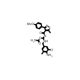 COc1ccc(-c2nsc(C)c2C(=O)N=C(NCc2cc(C)c(N)c(Cl)c2)OC(N)=O)cc1